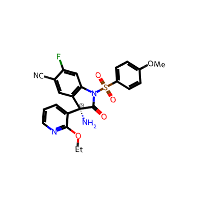 CCOc1ncccc1[C@]1(N)C(=O)N(S(=O)(=O)c2ccc(OC)cc2)c2cc(F)c(C#N)cc21